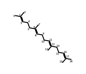 CC(C)=CCC/C(C)=C/CC/C=C(\C)CCC=C(C)C